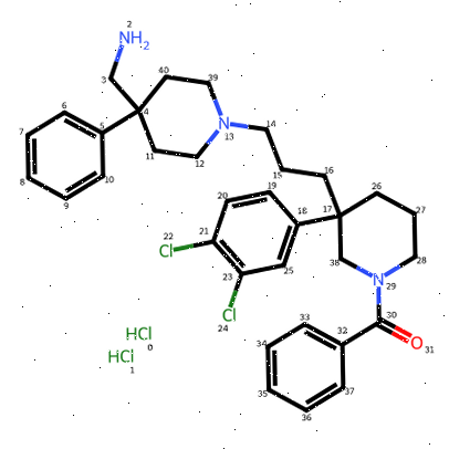 Cl.Cl.NCC1(c2ccccc2)CCN(CCCC2(c3ccc(Cl)c(Cl)c3)CCCN(C(=O)c3ccccc3)C2)CC1